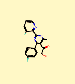 CC1=C(C(=O)CO)C(c2ccc(F)cc2)N=C(c2ncccc2F)N1